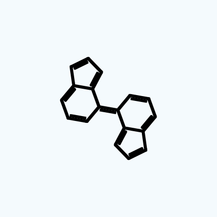 C1=Cc2cccc(=c3cccc4c3=CC=C4)c2=C1